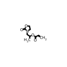 C=CC(=O)OC(C)CN1CCOC1=O